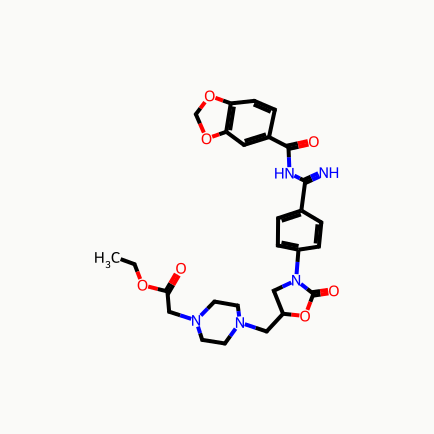 CCOC(=O)CN1CCN(CC2CN(c3ccc(C(=N)NC(=O)c4ccc5c(c4)OCO5)cc3)C(=O)O2)CC1